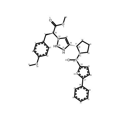 COC(=O)[C@H](Cc1ccc(OC)cc1)N1C=C([C@@H]2CCCN2[S+]([O-])c2ccc(-c3ccccc3)s2)NN1